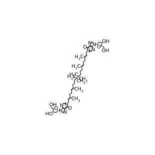 C/C(=C\Cn1cnc2c(ncn2[C@H]2C[C@@H](O)C(CO)O2)c1=O)CC/C=C(\C)CCCC(C)(C)C(C)(C)CCC/C(C)=C/CC/C(C)=C/Cn1cnc2c(ncn2[C@H]2C[C@@H](O)C(CO)O2)c1=O